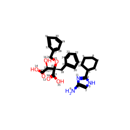 Nc1c[nH]c(C2CCCCC2)n1.O=C(O)[C@@H](O)[C@](Cc1ccccc1)(OCc1ccccc1)C(=O)O